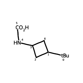 CC(C)(C)C1CC(NC(=O)O)C1